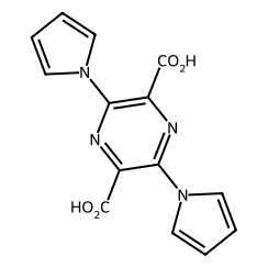 O=C(O)c1nc(-n2cccc2)c(C(=O)O)nc1-n1cccc1